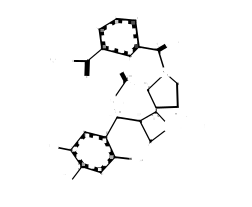 COC(=O)c1cccc(C(=O)N2C[C@H](C)C[C@@H]2C(=O)N[C@@H](c2cc(F)c(C(F)(F)F)cc2F)C2COC2)c1